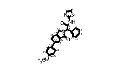 O=C(Nc1nccs1)C(c1ccccc1)N1Cc2ccc(-c3ccc(OC(F)(F)F)cc3)cc2C1=O